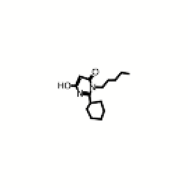 CCCCCn1c(C2CCCCC2)nc(O)cc1=O